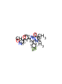 COc1cc([C@@H]2C[C@H](c3cc(C4CCC(F)(F)CC4)c4nc(C)c(C)c(=O)n4n3)CCO2)ccn1